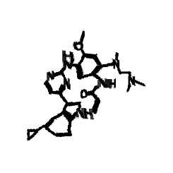 C=CC(=O)Nc1cc(Nc2nccc(-c3c[nH]c4ccc(C5CC5)cc34)n2)c(OC)cc1N(C)CCN(C)C